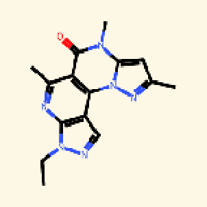 CCn1ncc2c1nc(C)c1c(=O)n(C)c3cc(C)nn3c12